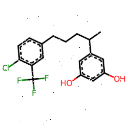 CC(CCCc1ccc(Cl)c(C(F)(F)F)c1)c1cc(O)cc(O)c1